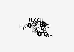 Cc1ccc(-n2nc(C(C)(C)C)cc2NC(=O)Nc2cccc(C(C(=O)Cc3csc4ccc(Cl)cc34)C3CCNCC3)c2)cc1